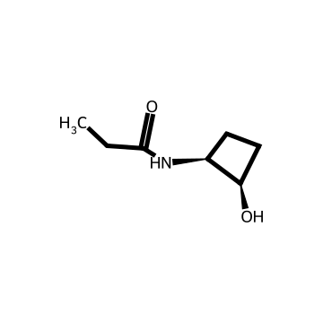 CCC(=O)N[C@H]1CC[C@H]1O